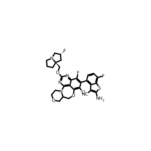 N#Cc1c(N)sc2c(F)ccc(-c3c(Cl)c4c5c(nc(OC[C@@]67CCCN6C[C@H](F)C7)nc5c3F)N3CCOCC3CO4)c12